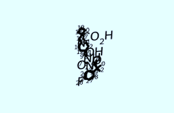 CC1(C)C(=O)N(C(=O)NCC2(O)CCN(CC3(C(=O)O)CCC3)CC2)c2cc(F)ccc21